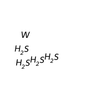 S.S.S.S.[W]